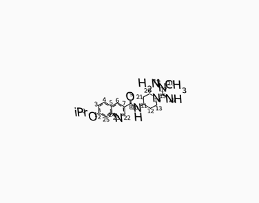 CC(C)Oc1ccc2cc(C(=O)NC3CCN(C(=N)N(C)N)CC3)cnc2c1